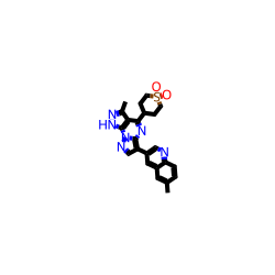 Cc1ccc2ncc(-c3cnn4c3nc(C3CCS(=O)(=O)CC3)c3c(C)n[nH]c34)cc2c1